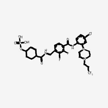 O=C(Nc1ccc(Cl)cc1N1CCN(CCC(F)(F)F)CC1)c1ccc(CNC(=O)C2CCC(OP(=O)(O)O)CC2)c(F)c1F